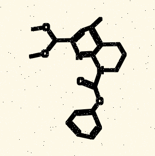 COC(OC)c1cc(C)c2c(n1)N(C(=O)Oc1ccccc1)CCC2